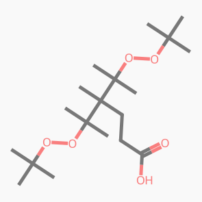 CC(C)(C)OOC(C)(C)C(C)(CCC(=O)O)C(C)(C)OOC(C)(C)C